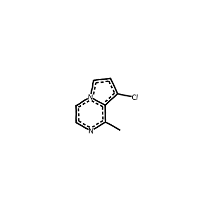 Cc1nccn2ccc(Cl)c12